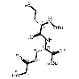 CC(=O)CC[C@H](NC(C)(C)C)C(=O)N[C@@H](CSC(=O)CO)C(=O)C(C)(C)C